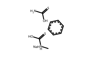 CNC(O)=S.NC(O)=S.[NaH].c1ccccc1